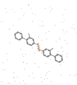 Cc1cc(SSc2ccc(-c3ccccc3)c(C)c2)ccc1-c1ccccc1